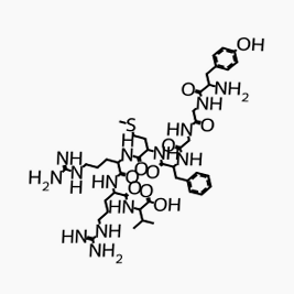 CSCCC(NC(=O)C(Cc1ccccc1)NC(=O)CNC(=O)CNC(=O)C(N)Cc1ccc(O)cc1)C(=O)NC(CCCNC(=N)N)C(=O)NC(CCCNC(=N)N)C(=O)NC(C(=O)O)C(C)C